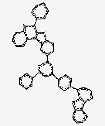 c1ccc(-c2cc(-c3ccc(-c4cccc5c4sc4ccccc45)cc3)nc(-c3ccc4oc5c(-c6ccccc6)nc6ccccc6c5c4c3)n2)cc1